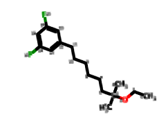 CCO[Si](C)(C)CCCCCCc1cc(F)cc(F)c1